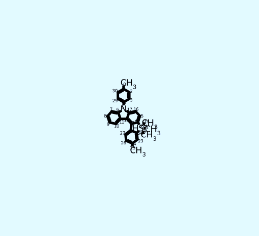 Cc1ccc(-n2c3ccccc3c3c4c(ccc32)[SH](C)(C)(C)c2cc(C)ccc2-4)cc1